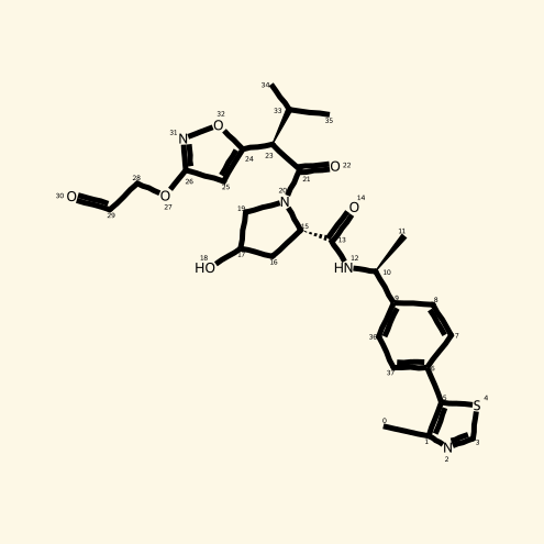 Cc1ncsc1-c1ccc([C@H](C)NC(=O)[C@@H]2CC(O)CN2C(=O)[C@@H](c2cc(OCC=O)no2)C(C)C)cc1